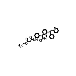 CCOC(=O)CC(=O)Nc1cccc(-c2c(Cl)ncc3c(N(Cc4ccccn4)c4ccccc4)cccc23)c1